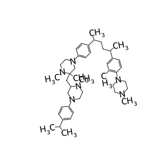 Cc1cc(C(C)CCC(C)c2ccc(N3CCN(C)C(C)(CC4CN(c5ccc(C(C)C)cc5)CCN4C)C3)cc2)ccc1N1CCN(C)CC1